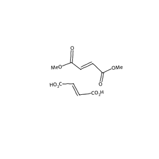 COC(=O)C=CC(=O)OC.O=C(O)C=CC(=O)O